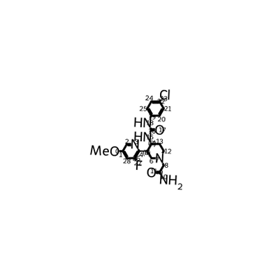 COc1cnc([C@@H]2CN(CC(N)=O)CC[C@H]2NC(=O)Nc2ccc(Cl)cc2)c(F)c1